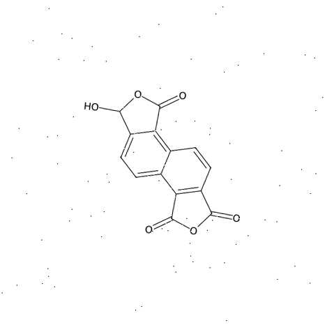 O=C1OC(=O)c2c1ccc1c3c(ccc21)C(O)OC3=O